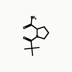 CC(C)(C)C(=O)N1CCCC1C(N)=O